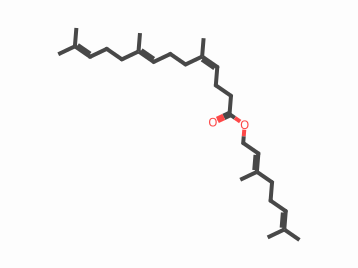 CC(C)=CCC/C(C)=C/CC/C(C)=C\CCC(=O)OC/C=C(\C)CCC=C(C)C